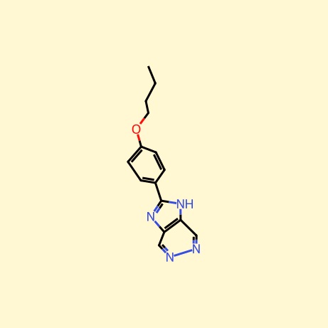 CCCCOc1ccc(-c2nc3cnncc3[nH]2)cc1